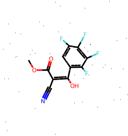 COC(=O)C(C#N)=C(O)c1cc(F)c(F)c(F)c1F